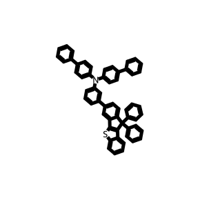 c1ccc(-c2ccc(N(c3ccc(-c4ccccc4)cc3)c3cccc(-c4ccc5c(c4)-c4sc6ccccc6c4C5(c4ccccc4)c4ccccc4)c3)cc2)cc1